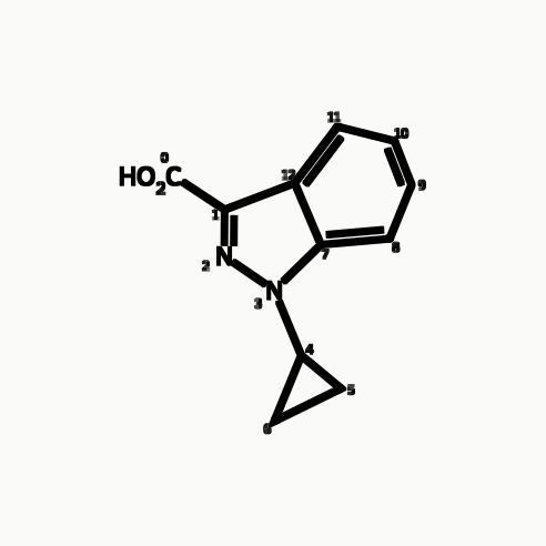 O=C(O)c1nn(C2CC2)c2ccccc12